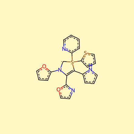 [CH]1N(c2ccco2)C(c2ncco2)=C(c2ccc[nH]2)S1(c1ccccn1)c1cccs1